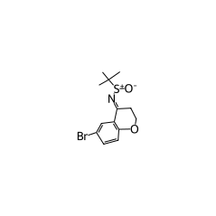 CC(C)(C)[S+]([O-])/N=C1\CCOc2ccc(Br)cc21